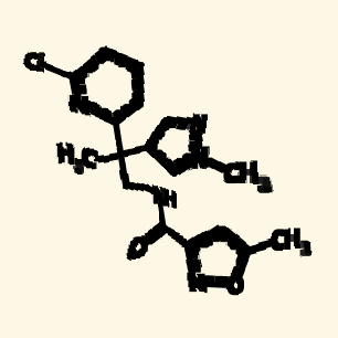 Cc1cc(C(=O)NCC(C)(c2cnn(C)c2)c2cccc(Cl)n2)no1